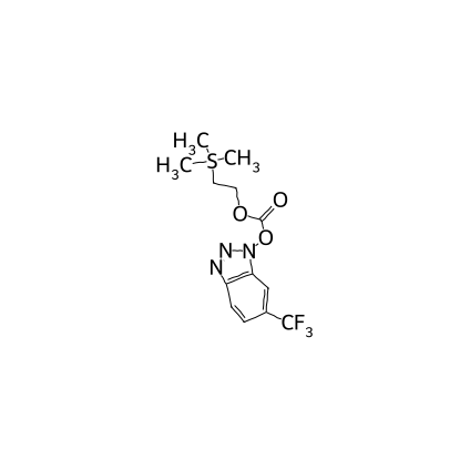 CS(C)(C)CCOC(=O)On1nnc2ccc(C(F)(F)F)cc21